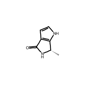 C[C@@H]1NC(=O)c2cc[nH]c21